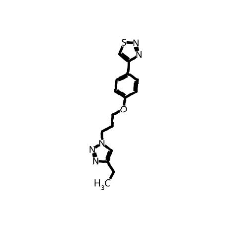 CCc1cn(CCCOc2ccc(-c3csnn3)cc2)nn1